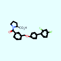 O=C(O)[C@@H]1CCCN1C(=O)c1cccc(COc2ccc(-c3ccc(F)cc3F)cc2)c1